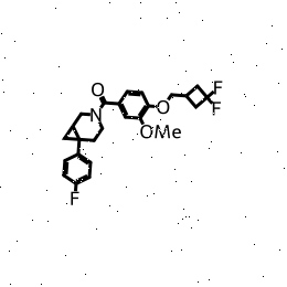 COc1cc(C(=O)N2CCC3(c4ccc(F)cc4)CC3C2)ccc1OCC1CC(F)(F)C1